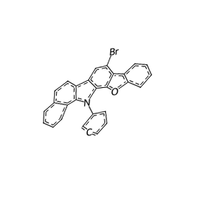 Brc1cc2c3ccc4ccccc4c3n(-c3ccccc3)c2c2oc3ccccc3c12